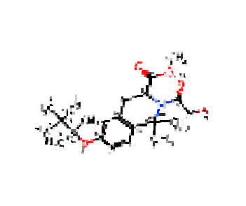 COC(=O)C1Cc2cc(O[Si](C)(C)C(C)(C)C)ccc2C(C)(C)N1C(=O)CBr